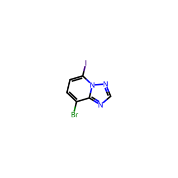 Brc1ccc(I)n2ncnc12